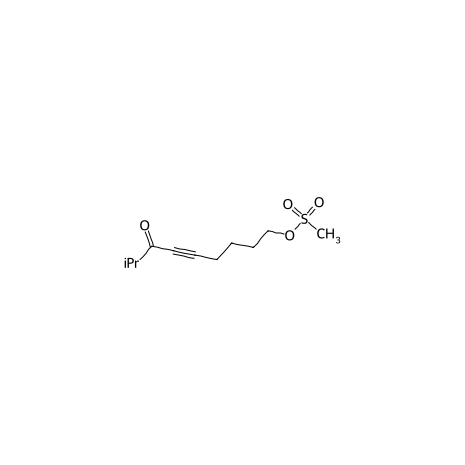 CC(C)C(=O)C#CCCCCOS(C)(=O)=O